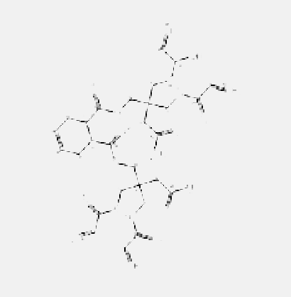 C=CC(=O)OCC(COC(=O)C=C)(COC(=O)C1CC=CCC1C(=O)OCC(COC(=O)C=C)(COC(O)C=C)CC(C)=O)CC(C)=O